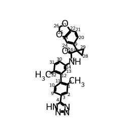 Cc1cc(-c2nnn[nH]2)ccc1-c1cc(NC(=O)C2(c3ccc4c(c3)OCO4)CC2)ccc1C